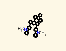 Cn1c2ccccc2c2ccc(-c3cccc4c(-c5cccc6c5-c5ccccc5C65CCCC5)c5cccc(-c6ccc7c8ccccc8n(C)c7c6)c5cc34)cc21